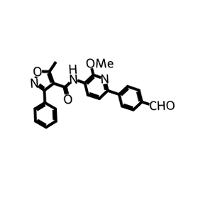 COc1nc(-c2ccc(C=O)cc2)ccc1NC(=O)c1c(-c2ccccc2)noc1C